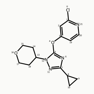 Clc1cc(Oc2nc(C3CC3)nn2C2CCOCC2)ccn1